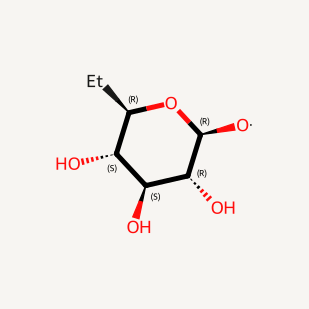 CC[C@H]1O[C@@H]([O])[C@H](O)[C@@H](O)[C@@H]1O